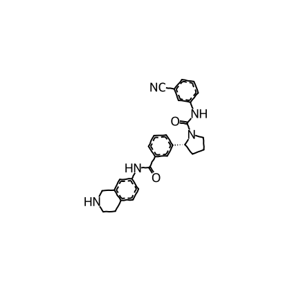 N#Cc1cccc(NC(=O)N2CCC[C@@H]2c2cccc(C(=O)Nc3ccc4c(c3)CNCC4)c2)c1